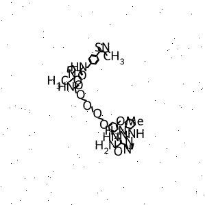 COc1cc(Nc2nc(N[C@H]3CCCC[C@H]3N)n3ccnc3c2C(N)=O)cc(OCCOCCOCCOCC(=O)N[C@@H](C)C(=O)N2CCC[C@H]2C(=O)NCc2ccc(-c3scnc3C)cc2)c1